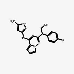 Cc1cc(Nc2nc(C(CO)c3ccc(F)cc3)nn3cccc23)n[nH]1